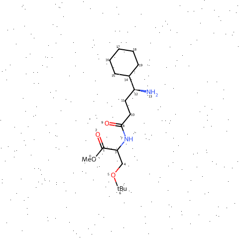 COC(=O)C(COC(C)(C)C)NC(=O)CC[C@H](N)C1CCCCC1